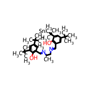 C[C@@H](CN=Cc1cc(C(C)(C)C)cc(C(C)(C)C)c1O)N=Cc1cc(C(C)(C)C)cc(C(C)(C)C)c1O.[Sn]